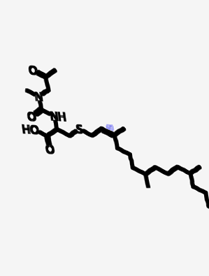 CC(=O)CN(C)C(=O)NC(CSC/C=C(/C)CCCC(C)CCCC(C)CCCC(C)C)C(=O)O